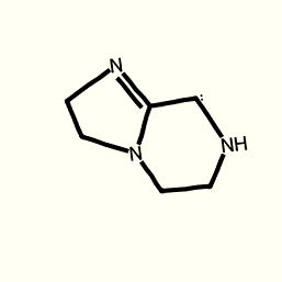 [C]1NCCN2CCN=C12